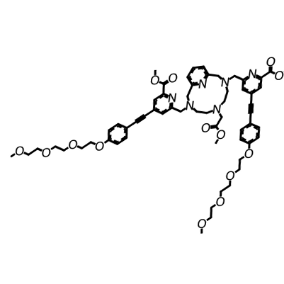 COCCOCCOCCOc1ccc(C#Cc2cc(CN3CCN(CC(=O)OC)CCN(Cc4cc(C#Cc5ccc(OCCOCCOCCOC)cc5)cc(C(=O)OC)n4)Cc4cccc(n4)C3)nc(C(=O)OC)c2)cc1